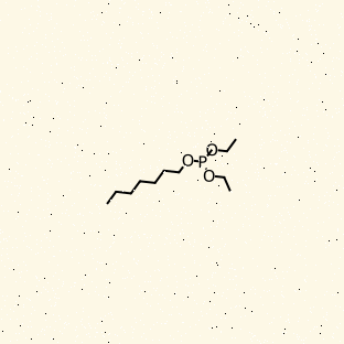 CCCCCCCOP(OCC)OCC